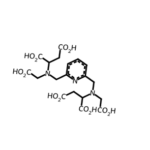 O=C(O)CC(C(=O)O)N(CC(=O)O)Cc1cccc(CN(CC(=O)O)C(CC(=O)O)C(=O)O)n1